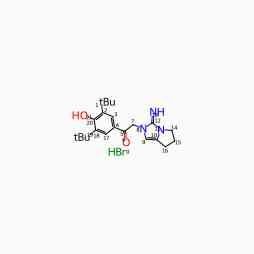 Br.CC(C)(C)c1cc(C(=O)Cn2cc3n(c2=N)CCC3)cc(C(C)(C)C)c1O